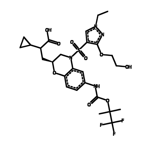 CCn1cc(S(=O)(=O)N2C[C@H](CC(C(=O)O)C3CC3)Oc3ccc(NC(=O)OC(C)(C)C(F)(F)F)cc32)c(OCCO)n1